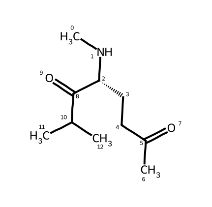 CN[C@H](CCC(C)=O)C(=O)C(C)C